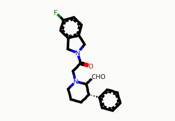 O=CC1[C@H](c2ccccc2)CCCN1CC(=O)N1Cc2ccc(F)cc2C1